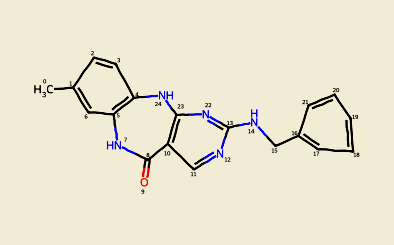 Cc1ccc2c(c1)NC(=O)c1cnc(NCc3ccccc3)nc1N2